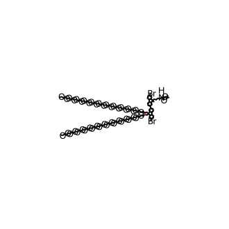 COCCOOCCOOCCOOCCOOCCOOCCOOCCOOCCOOCCOOCCOOCCOCCCC1(CCCOCCOOCCOOCCOOCCOOCCOOCCOOCCOOCCOOCCOOCCOOCCOC)c2cc(Br)ccc2-c2ccc(-c3ccc4c(c3)C(C)(CCCCNC(=O)OC(C)(C)C)c3cc(Br)ccc3-4)cc21